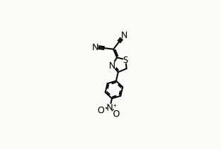 N#CC(C#N)=C1N=C(c2ccc([N+](=O)[O-])cc2)CS1